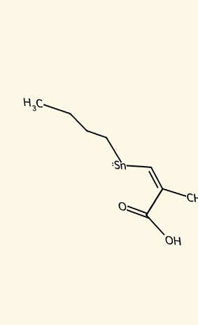 CCC[CH2][Sn][CH]=C(C)C(=O)O